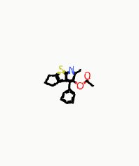 CC(=O)Oc1c(C)nc2sc3c(c2c1-c1ccccc1)CCC3